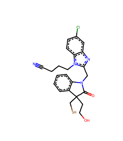 N#CCCCn1c(CN2C(=O)C(CS)(CCO)c3ccccc32)nc2cc(Cl)ccc21